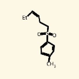 CC/C=C\CCS(=O)(=O)c1ccc(C)cc1